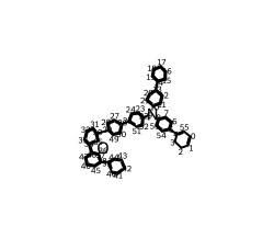 C1=CCCC(c2ccc(N(c3ccc(-c4ccccc4)cc3)c3ccc(-c4ccc(-c5cccc6c5oc5c(-c7ccccc7)cccc56)cc4)cc3)cc2)=C1